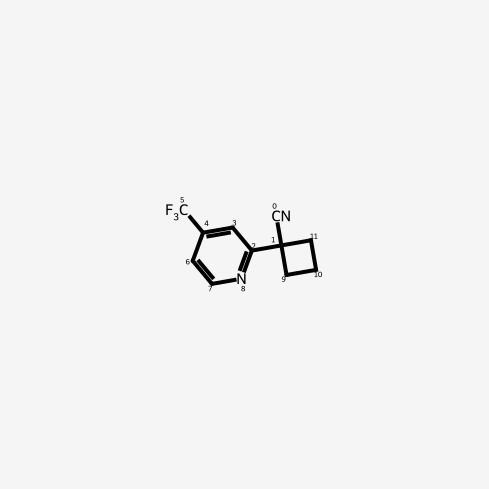 N#CC1(c2cc(C(F)(F)F)ccn2)CCC1